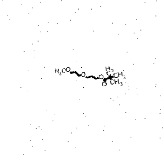 COCCCOCCCOC(=O)C(C)(C)C